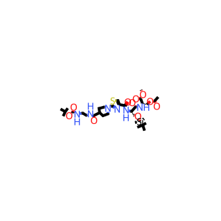 COC(=O)[C@H](COC(C)=O)NC(=O)[C@H](CO[Si](C)(C)C(C)(C)C)NC(=O)c1csc(N2CCC(C(=O)NCCNC(=O)OC(C)(C)C)CC2)n1